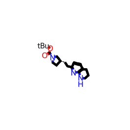 CC(C)(C)OC(=O)N1CC[C@@H](CCc2ccc3c(n2)NCCC3)C1